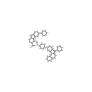 CNc1ccc2oc3ccc(-c4ccccc4)cc3c2c1OCc1ccc(-c2ccc3c(c2)c2c4ccccc4ccc2n3-c2ccccc2)cc1